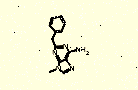 Cn1cnc2c(N)nc(Cc3ccccc3)nc21